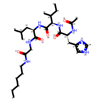 CCCCCCNC(=O)CNC(=O)[C@@H](CC(C)C)NC(=O)[C@H](NC(=O)[C@@H](Cc1c[nH]cn1)NC(C)=O)C(C)CC